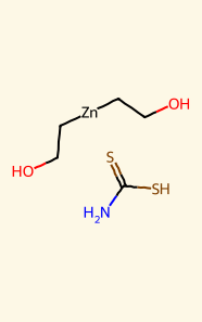 NC(=S)S.OC[CH2][Zn][CH2]CO